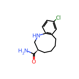 NC(=O)[C@@H]1CCCCc2cc(Cl)ccc2NC1